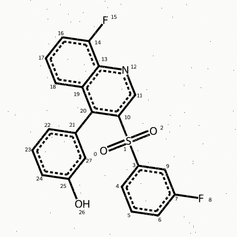 O=S(=O)(c1cccc(F)c1)c1cnc2c(F)cccc2c1-c1cccc(O)c1